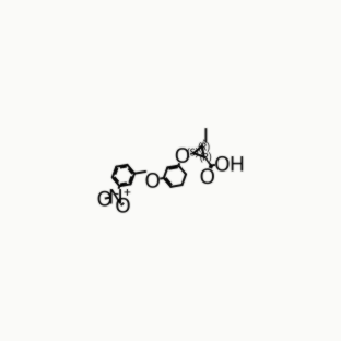 O=C(O)[C@@H]1[C@@H](I)[C@H]1OC1=CC(OCc2cccc([N+](=O)[O-])c2)=CCC1